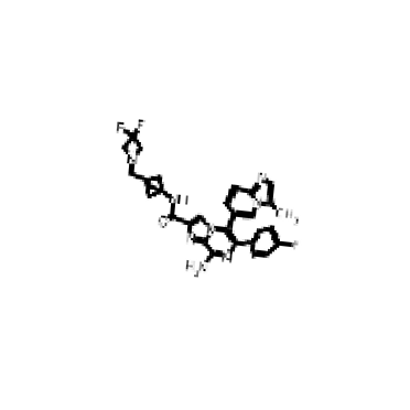 Cc1cnc2ccc(-c3c(-c4ccc(F)cc4)nc(N)c4nc(C(=O)NC56CC(CN7CC(F)(F)C7)(C5)C6)cn34)cn12